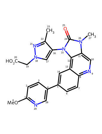 COc1ccc(-c2ccc3ncc4c(c3c2)n(-c2cn(CC(=O)O)nc2C)c(=O)n4C)cn1